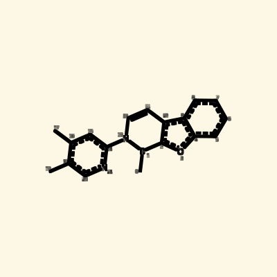 CB1c2oc3ccccc3c2C=CN1c1cc(C)c(C)cn1